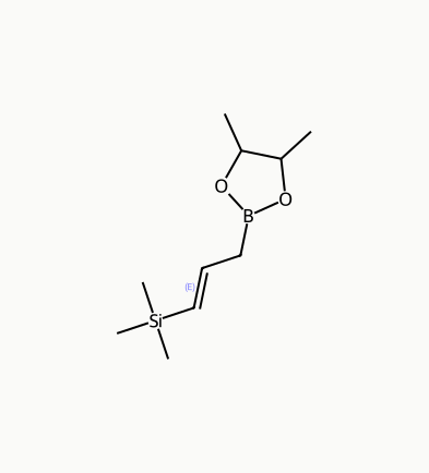 CC1OB(C/C=C/[Si](C)(C)C)OC1C